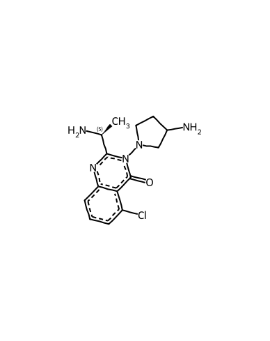 C[C@H](N)c1nc2cccc(Cl)c2c(=O)n1N1CCC(N)C1